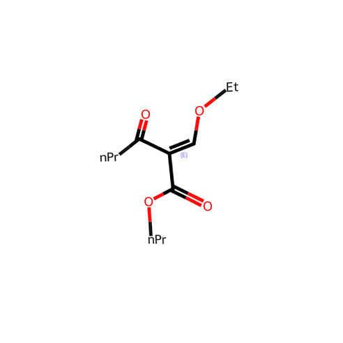 CCCOC(=O)/C(=C/OCC)C(=O)CCC